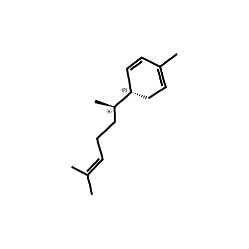 CC(C)=CCC[C@@H](C)[C@@H]1C=CC(C)=CC1